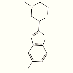 CN1CCOC(c2nc3cc(Cl)ccc3s2)C1